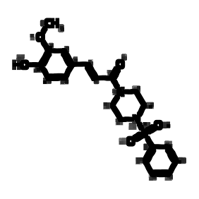 COc1cc(/C=C/C(=O)N2CCN(S(=O)(=O)c3ccccc3)CC2)ccc1O